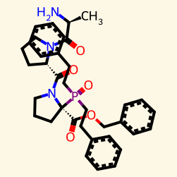 C[C@H](N)C(=O)N1CCC[C@H]1C(=O)N1CCC[C@]1(C(=O)OCc1ccccc1)P(=O)(CCc1ccccc1)CCc1ccccc1